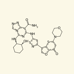 NC(=O)c1c(Nc2cc(-c3coc4c(=O)cc(N5CCOCC5)sc34)ns2)nc(N[C@@H]2CCCC[C@@H]2O)n2cnnc12